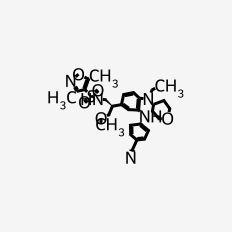 CCN(c1ccc([C@H](CNS(=O)(=O)c2c(C)noc2C)COC)cc1Nc1ccc(C#N)cc1)C1CCOCC1